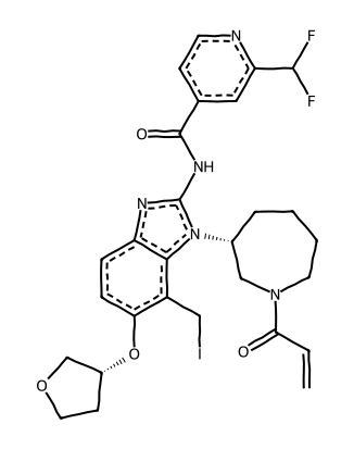 C=CC(=O)N1CCCC[C@@H](n2c(NC(=O)c3ccnc(C(F)F)c3)nc3ccc(O[C@@H]4CCOC4)c(CI)c32)C1